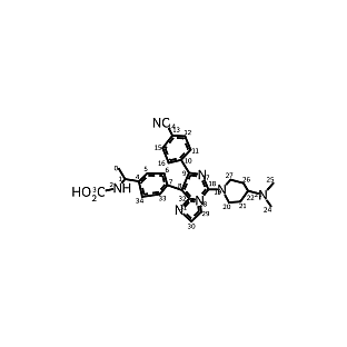 CC(NC(=O)O)c1ccc(-c2c(-c3ccc(C#N)cc3)nc(N3CCC(N(C)C)CC3)n3ccnc23)cc1